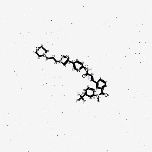 CN(C(=O)c1cccc(/C=C/C(=O)Nc2ccc(-c3cn(CCCN4CCOCC4)nn3)cn2)c1)c1cccc(C(F)(F)F)c1